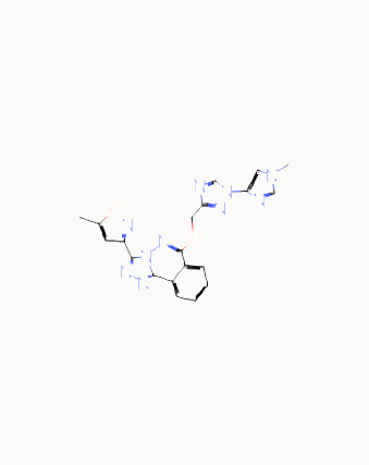 Cc1cc(-c2nnc3c4ccccc4c(OCc4ncn(-c5cn(C)cn5)n4)nn23)no1